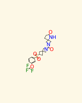 O=C1CCC2(CN(C(=O)N3CC4(CC(S(=O)(=O)c5cccc(OC(F)(F)F)c5)C4)C3)C2)N1